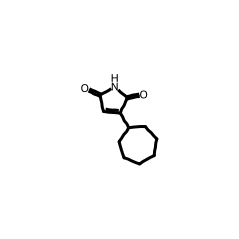 O=C1C=C(C2CCCCCC2)C(=O)N1